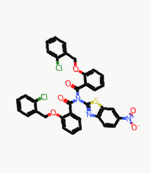 O=C(c1ccccc1OCc1ccccc1Cl)N(C(=O)c1ccccc1OCc1ccccc1Cl)c1nc2ccc([N+](=O)[O-])cc2s1